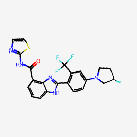 O=C(Nc1nccs1)c1cccc2[nH]c(-c3ccc(N4CC[C@@H](F)C4)cc3C(F)(F)F)nc12